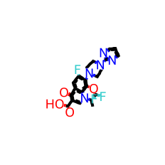 CCn1cc(C(=O)O)c(=O)c2cc(F)c(N3CCN(c4ncccn4)CC3)c(OC(F)F)c21